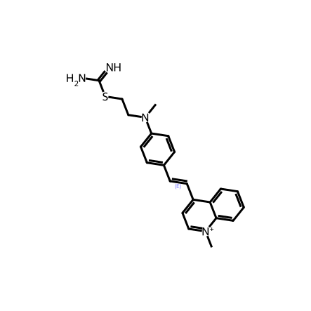 CN(CCSC(=N)N)c1ccc(/C=C/c2cc[n+](C)c3ccccc23)cc1